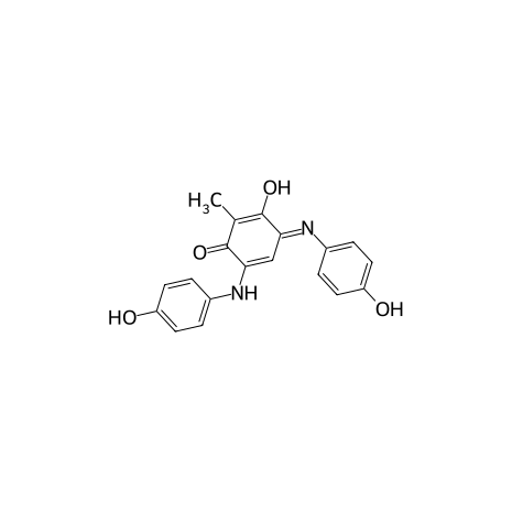 CC1=C(O)/C(=N/c2ccc(O)cc2)C=C(Nc2ccc(O)cc2)C1=O